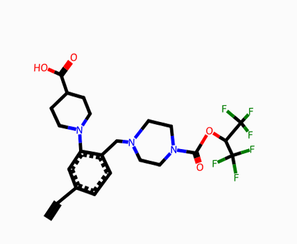 C#Cc1ccc(CN2CCN(C(=O)OC(C(F)(F)F)C(F)(F)F)CC2)c(N2CCC(C(=O)O)CC2)c1